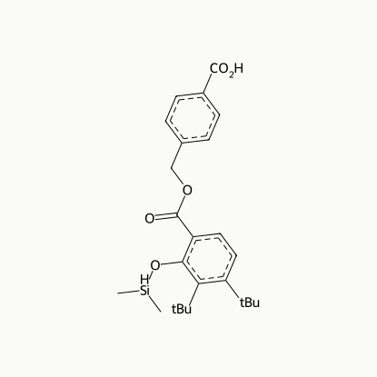 C[SiH](C)Oc1c(C(=O)OCc2ccc(C(=O)O)cc2)ccc(C(C)(C)C)c1C(C)(C)C